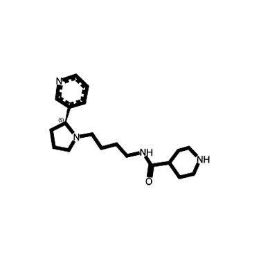 O=C(NCCCCN1CCC[C@H]1c1cccnc1)C1CCNCC1